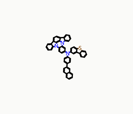 c1ccc2cc(-c3ccc(N(c4ccc5sc6ccccc6c5c4)c4ccc5c(c4)n4c6ccccc6c6ccc7c8ccccc8n5c7c64)cc3)ccc2c1